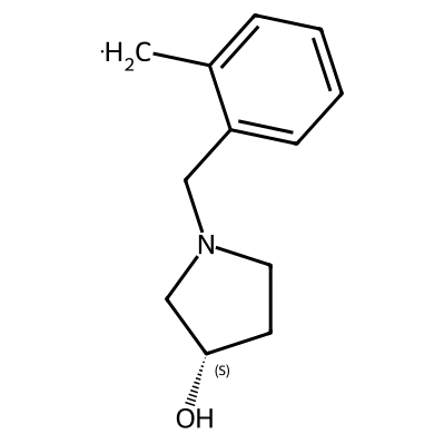 [CH2]c1ccccc1CN1CC[C@H](O)C1